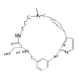 CN1CCCNC(=O)[C@H](CO)NCc2cccc(c2)Nc2nccc(n2)-c2ccc(cc2)C1